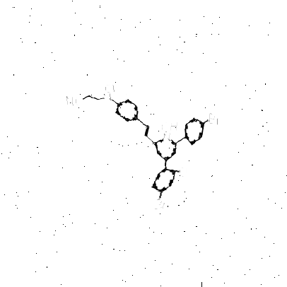 CN(CCC#N)c1ccc(/C=C/c2cc(-c3ccc(Br)cc3Cl)cc(-c3ccc(Br)cc3)[n+]2C)cc1.[I-]